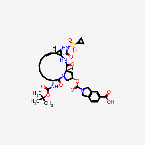 CC(C)(C)OC(=O)N[C@H]1CCCCC/C=C\[C@@H]2C[C@@]2(C(=O)NS(=O)(=O)C2CC2)NC(=O)[C@@H]2C[C@@H](OC(=O)N3Cc4ccc(C(=O)O)cc4C3)CN2C1=O